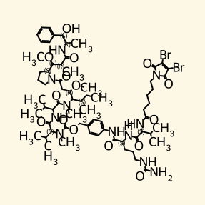 CC[C@H](C)C([C@@H](CC(=O)N1CCC[C@H]1[C@H](OC)[C@@H](C)C(=O)N[C@H](C)[C@@H](O)c1ccccc1)OC)N(C)C(=O)C(NC(=O)[C@H](C(C)C)N(C)C(=O)OCc1ccc(NC(=O)[C@H](CCCNC(N)=O)NC(=O)[C@@H](NC(=O)CCCCCN2C(=O)C(Br)=C(Br)C2=O)C(C)C)cc1)C(C)C